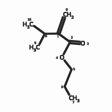 C=C(C(=O)OCCC)C(C)C